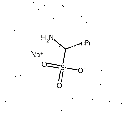 CCCC(N)S(=O)(=O)[O-].[Na+]